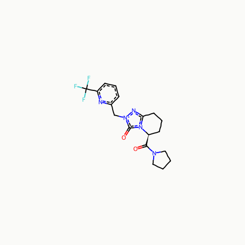 O=C([C@@H]1CCCc2nn(Cc3cccc(C(F)(F)F)n3)c(=O)n21)N1CCCC1